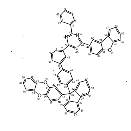 c1ccc(-c2nc(-c3cccc(-c4ccc(C5(c6ccc7c(c6)Oc6ccccc6O7)c6ccccc6-c6ccccc65)cc4)c3)nc(-c3ccc4oc5ccccc5c4c3)n2)cc1